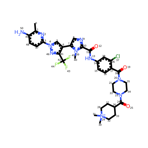 Cc1nc(-n2cc(-c3cnc(C(=O)Nc4ccc(C(=O)N5CCN(C(=O)C6CC[N+](C)(C)CC6)CC5)c(Cl)c4)n3C)c(C(F)(F)F)n2)ccc1N